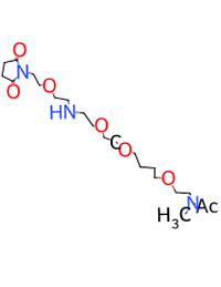 CC(=O)N(C)CCOCCCCOCCOCCNCCOCCN1C(=O)CCC1=O